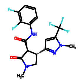 CN1C[C@@H](c2cc(C(F)(F)F)n(C)n2)[C@H](C(=O)Nc2cccc(F)c2F)C1=O